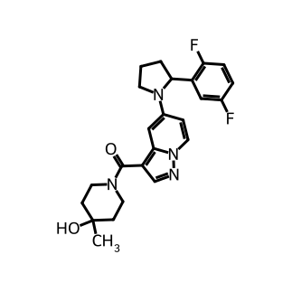 CC1(O)CCN(C(=O)c2cnn3ccc(N4CCCC4c4cc(F)ccc4F)cc23)CC1